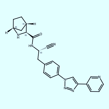 N#C[C@H](Cc1ccc(-n2cc(-c3cccnc3)nn2)cc1)NC(=O)[C@H]1N[C@@H]2CC[C@H]1C2